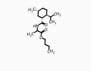 CCCCOC(=O)C(C)NC(=O)[C@@H]1C[C@H](C)CC[C@H]1C(C)C